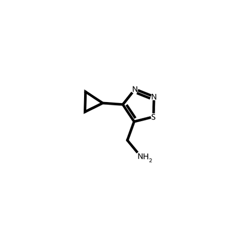 NCc1snnc1C1CC1